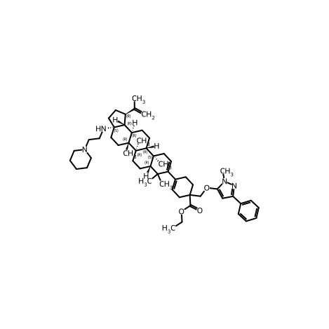 C=C(C)[C@@H]1CC[C@]2(NCCN3CCCCC3)CC[C@]3(C)[C@H](CC[C@@H]4[C@@]5(C)CC=C(C6=CCC(COc7cc(-c8ccccc8)nn7C)(C(=O)OCC)CC6)C(C)(C)[C@@H]5CC[C@]43C)[C@@H]12